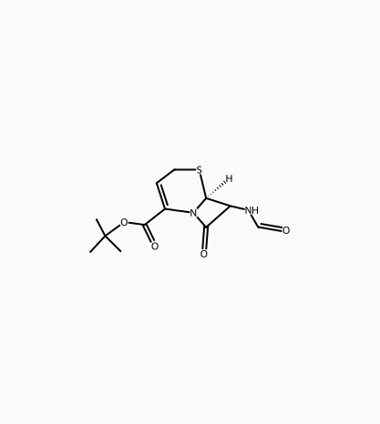 CC(C)(C)OC(=O)C1=CCS[C@H]2C(NC=O)C(=O)N12